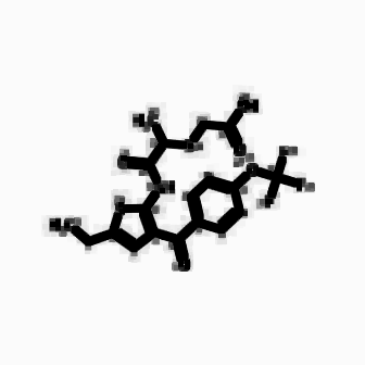 CCc1cc(C(=O)c2ccc(OC(F)(F)F)cc2)c(NC(=O)C(C)SCC(=O)O)s1